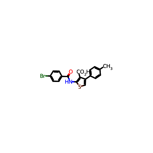 Cc1ccc(-c2csc(NC(=O)c3ccc(Br)cc3)c2C(=O)O)cc1